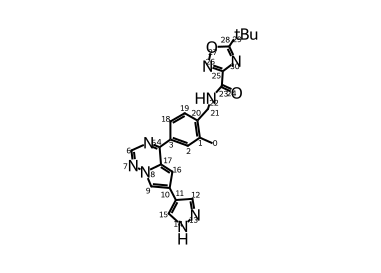 Cc1cc(-c2ncnn3cc(-c4cn[nH]c4)cc23)ccc1CNC(=O)c1noc(C(C)(C)C)n1